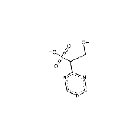 O=S(=O)(O)C(CO)c1ncncn1